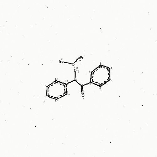 CCCOC(C)C.O=C(c1ccccc1)C(O)c1ccccc1